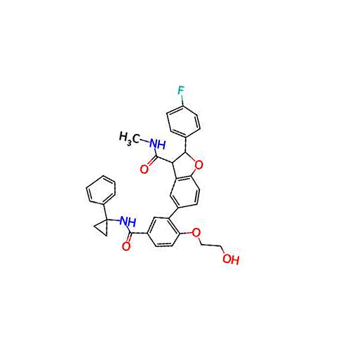 CNC(=O)C1c2cc(-c3cc(C(=O)NC4(c5ccccc5)CC4)ccc3OCCO)ccc2OC1c1ccc(F)cc1